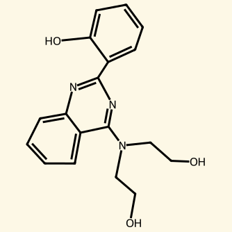 OCCN(CCO)c1nc(-c2ccccc2O)nc2ccccc12